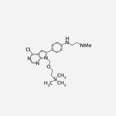 CNCCNc1ccc(-c2cc3c(Cl)ncnc3n2COCC[Si](C)(C)C)cc1